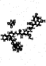 CCOc1cc(NC(=O)CCc2ccc(-c3ccccc3)c(NC(=O)O[C@@H]3C[C@@H]4[C@H]5O[C@H]5[C@H](C3)[N+]4(C)C)c2)ccc1CNC[C@H](O)c1ccc(O)c2[nH]c(=O)ccc12.O=C([O-])C(F)(F)F